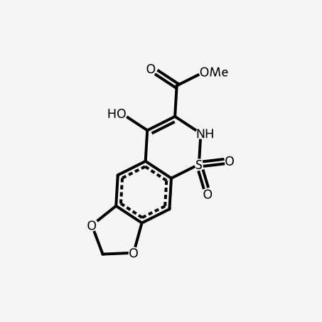 COC(=O)C1=C(O)c2cc3c(cc2S(=O)(=O)N1)OCO3